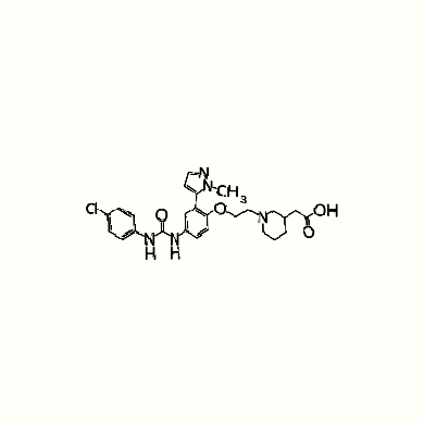 Cn1nccc1-c1cc(NC(=O)Nc2ccc(Cl)cc2)ccc1OCCN1CCCC(CC(=O)O)C1